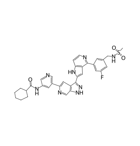 CS(=O)(=O)NCc1cc(F)cc(-c2nccc3[nH]c(-c4n[nH]c5cnc(-c6cncc(NC(=O)C7CCCCC7)c6)cc45)cc23)c1